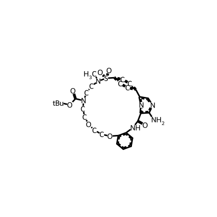 CN1CCN(C(=O)OC(C)(C)C)CCOCCOc2ccccc2NC(=O)c2nc(cnc2N)-c2ccc(cc2)S1(=O)=O